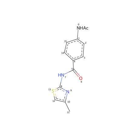 CC(=O)Nc1ccc(C(=O)Nc2nc(C)cs2)cc1